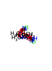 CC(C)(CNC1CCC1NCC(C)(C)COCC(C)(C)COC[C@@]12CC[C@@H](Nc3nc(Cl)ns3)[C@@H](OC1)O2)COCC(C)(C)COC[C@@]12CC[C@@H](Cc3nc(Cl)ns3)[C@H](OC1)O2